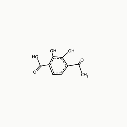 CC(=O)c1ccc(C(=O)O)c(O)c1O